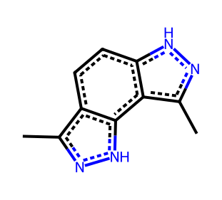 Cc1n[nH]c2c1ccc1[nH]nc(C)c12